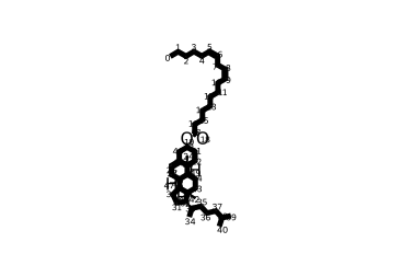 CCCCC/C=C\C/C=C\CCCCCCCC(=O)O[C@H]1CC[C@@]2(C)C(=CC[C@H]3[C@@H]4CC[C@H](C(C)CCCC(C)C)[C@@]4(C)CC[C@@H]32)C1